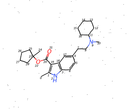 Cc1[nH]c2ccc(CCN(C)C3CCCCC3)cc2c1C(=O)OC1(C)CCCC1